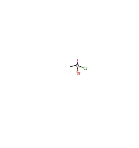 C[Si](Cl)(Br)I